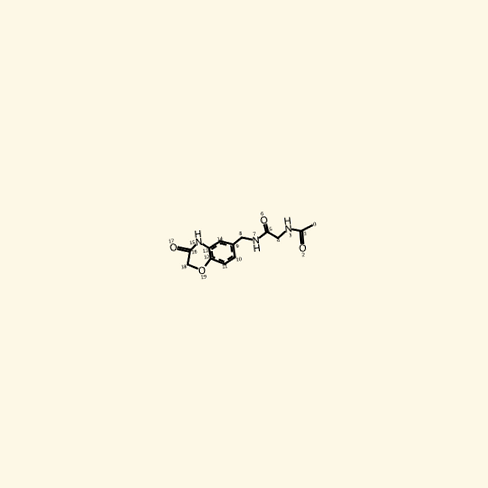 CC(=O)NCC(=O)NCc1ccc2c(c1)NC(=O)CO2